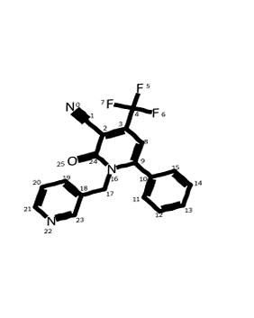 N#Cc1c(C(F)(F)F)cc(-c2ccccc2)n(Cc2cccnc2)c1=O